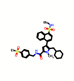 CCS(=O)(=O)c1ccc(CNC(=O)c2cc(-c3ccc(S(=O)(=O)NC(C)(C)C)c4ccccc34)c(CC3CCCCC3)n2C)cc1